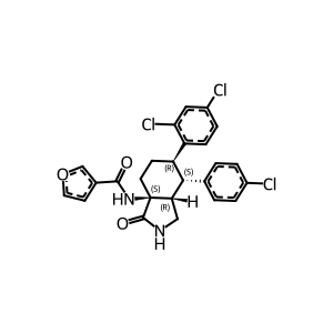 O=C(N[C@@]12CC[C@@H](c3ccc(Cl)cc3Cl)[C@H](c3ccc(Cl)cc3)[C@@H]1CNC2=O)c1ccoc1